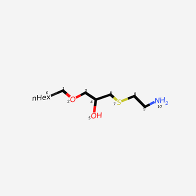 CCCCCCCOCC(O)CSCCN